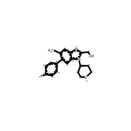 Cc1cc2nc(CO)n(C3CCOCC3)c2cc1-c1ccc(F)cc1